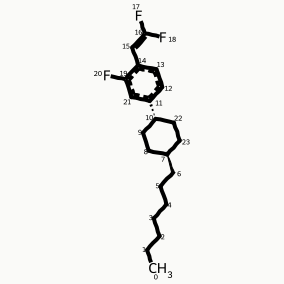 CCCCCCC[C@H]1CC[C@H](c2ccc(C=C(F)F)c(F)c2)CC1